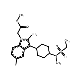 CCS(=O)(=O)N(C)C1CCC(c2c(C)n(CC(=O)OC)c3ccc(F)cc23)CC1